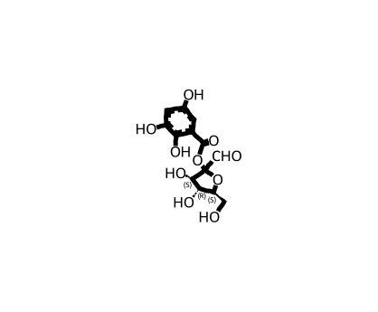 O=CC1(OC(=O)c2cc(O)cc(O)c2O)O[C@@H](CO)[C@H](O)[C@@H]1O